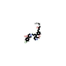 CCCC=C=CC(=O)CCc1ccc2c(c1)/C(=C/CCN1CCC(O)(c3ccc(Cl)cc3)CC1)c1cccnc1CO2